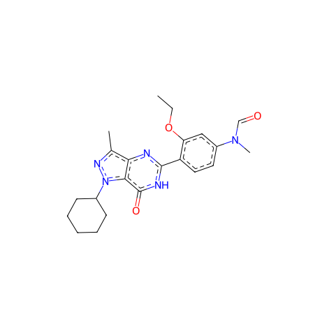 CCOc1cc(N(C)C=O)ccc1-c1nc2c(C)nn(C3CCCCC3)c2c(=O)[nH]1